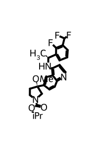 CO[C@@]1(c2ccc3nccc(N[C@H](C)c4cccc(C(F)F)c4F)c3c2)CCN(C(=O)OC(C)C)C1